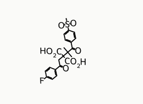 CC(C)(C(=O)c1ccc(S(C)(=O)=O)cc1)C(CC(=O)c1ccc(F)cc1)(C(=O)O)C(=O)O